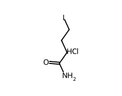 Cl.NC(=O)CCCI